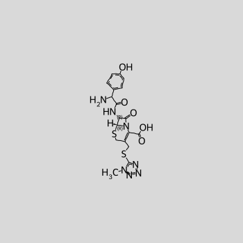 Cn1nnnc1SCC1=C(C(=O)O)N2C(=O)[C@@H](NC(=O)C(N)c3ccc(O)cc3)[C@H]2SC1